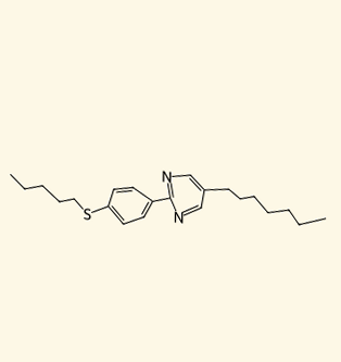 CCCCCCCc1cnc(-c2ccc(SCCCCC)cc2)nc1